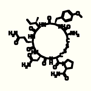 CC[C@H](C)[C@@H]1NC(=O)[C@H](Cc2ccc(OC)cc2)NC(=O)[C@@H](N)CSSC[C@@H](C(=O)N2CCC[C@H]2C(N)=O)NC(=O)[C@H](CC(N)=O)NC(=O)[C@H](CCC(N)=O)NC1=O